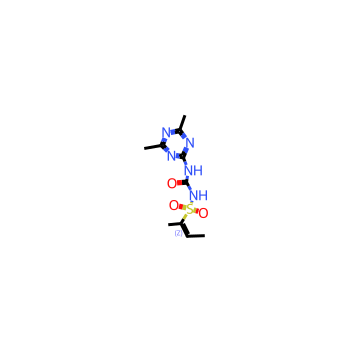 C/C=C(/C)S(=O)(=O)NC(=O)Nc1nc(C)nc(C)n1